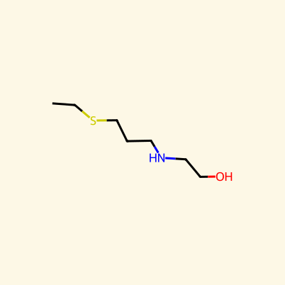 CCSCCCNCCO